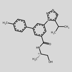 Cc1ccc(-c2cc(C(=O)N[C@@H](C)CO)cc(-n3nncc3C(C)C)c2)cc1